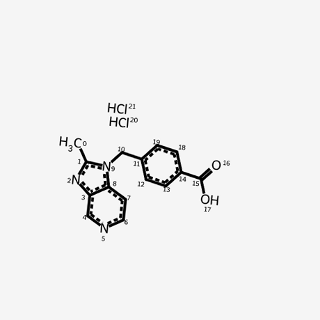 Cc1nc2cnccc2n1Cc1ccc(C(=O)O)cc1.Cl.Cl